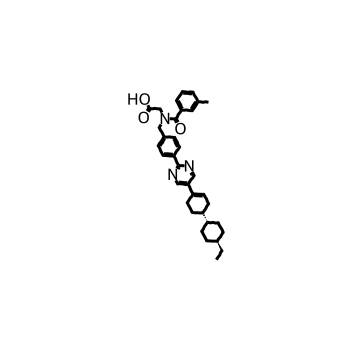 CC[C@H]1CC[C@H](C2CC=C(c3cnc(-c4ccc(CN(CC(=O)O)C(=O)c5cccc(C)c5)cc4)nc3)CC2)CC1